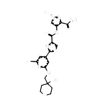 Cn1cc(NC(=O)c2coc(-c3cc(Cl)nc(NCC4(O)CCOCC4)c3)n2)c(C(N)=O)n1